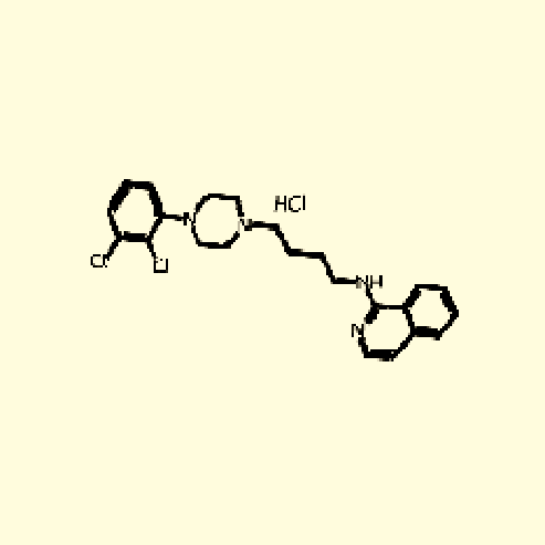 Cl.Clc1cccc(N2CCN(CCCCNc3nccc4ccccc34)CC2)c1Cl